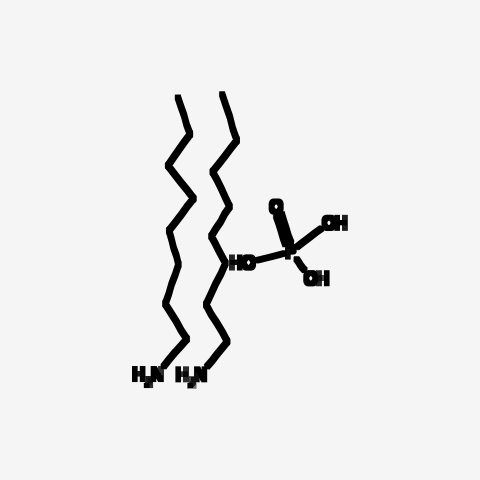 CCCCCCCCN.CCCCCCCCN.O=P(O)(O)O